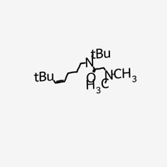 CN(C)CC(=O)N(CCC/C=C\C(C)(C)C)C(C)(C)C